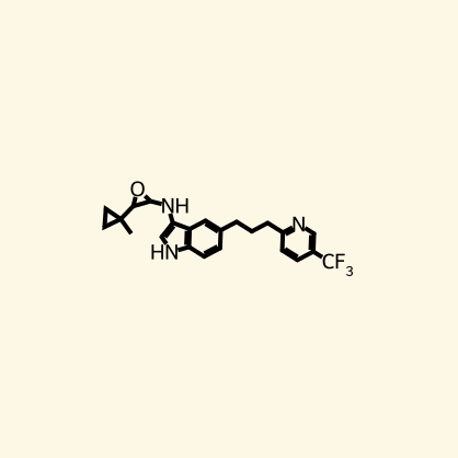 CC1(C2OC2Nc2c[nH]c3ccc(CCCc4ccc(C(F)(F)F)cn4)cc23)CC1